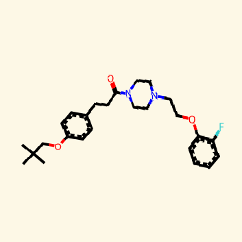 CC(C)(C)COc1ccc(CCC(=O)N2CCN(CCOc3ccccc3F)CC2)cc1